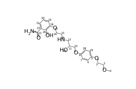 COCCOc1ccc(OCC(O)CNCCOc2cccc(C(N)=O)c2O)cc1